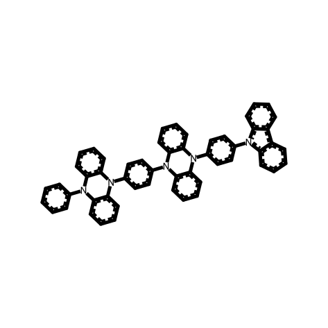 c1ccc(N2c3ccccc3N(c3ccc(N4c5ccccc5N(c5ccc(-n6c7ccccc7c7ccccc76)cc5)c5ccccc54)cc3)c3ccccc32)cc1